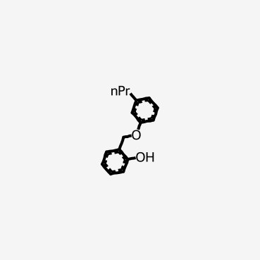 CCCc1cccc(OCc2ccccc2O)c1